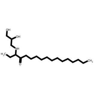 CCCCCCCCCCCCCC(=O)C(CC)NCC(O)CO